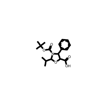 CC(C)C1OC(C(=O)O)C(c2ccccc2)N1C(=O)OC(C)(C)C